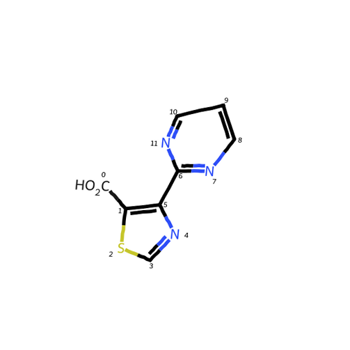 O=C(O)c1scnc1-c1ncccn1